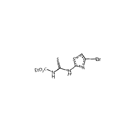 CCOC(=O)NC(=S)Nc1nc(Br)cs1